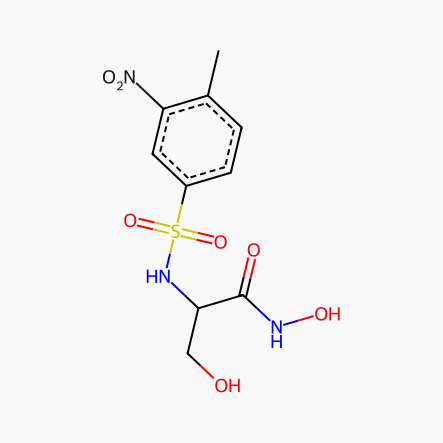 Cc1ccc(S(=O)(=O)NC(CO)C(=O)NO)cc1[N+](=O)[O-]